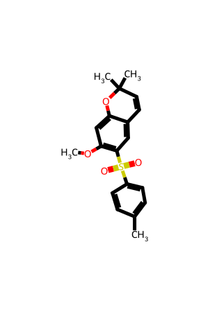 COc1cc2c(cc1S(=O)(=O)c1ccc(C)cc1)C=CC(C)(C)O2